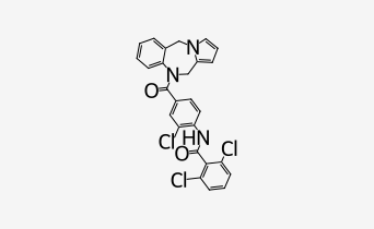 O=C(Nc1ccc(C(=O)N2Cc3cccn3Cc3ccccc32)cc1Cl)c1c(Cl)cccc1Cl